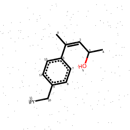 C/C(=C/C(C)O)c1ccc(CC(C)C)cc1